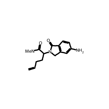 C=CCCC(C(=O)NC)N1Cc2cc(N)ccc2C1=O